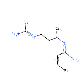 CC/C=C\C(N)=N/C(C)CC/N=C(/N)CC